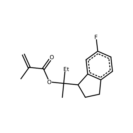 C=C(C)C(=O)OC(C)(CC)C1CCc2ccc(F)cc21